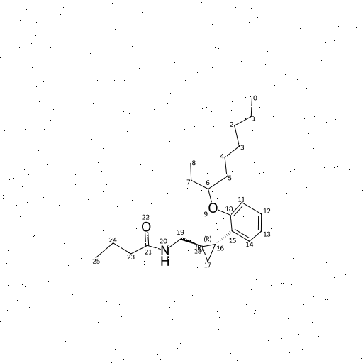 CCCCCCC(CC)Oc1ccccc1[C@@H]1C[C@H]1CNC(=O)CCC